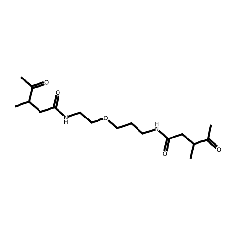 CC(=O)C(C)CC(=O)NCCCOCCNC(=O)CC(C)C(C)=O